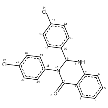 O=C1c2ccccc2NC(c2ccc(Cl)cc2)N1c1ccc(Cl)cc1